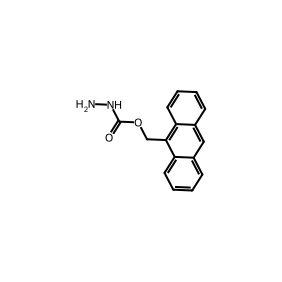 NNC(=O)OCc1c2ccccc2cc2ccccc12